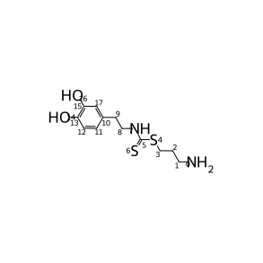 NCCCSC(=S)NCCc1ccc(O)c(O)c1